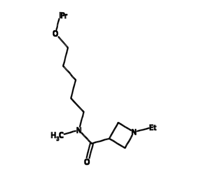 CCN1CC(C(=O)N(C)CCCCCOC(C)C)C1